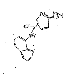 N#Cc1ccc([S+]([O-])Nc2cccc3cccnc23)cn1